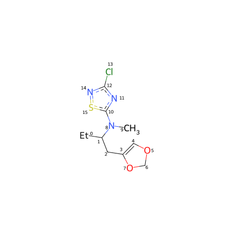 [CH2]CC(CC1=COCO1)N(C)c1nc(Cl)ns1